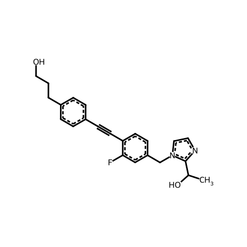 CC(O)c1nccn1Cc1ccc(C#Cc2ccc(CCCO)cc2)c(F)c1